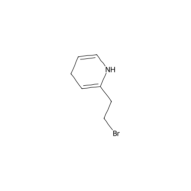 BrCCC1=CCC=CN1